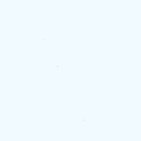 CCC1(COCc2ccc(F)cc2)COC1.CCC1(COCc2ccccc2)COC1